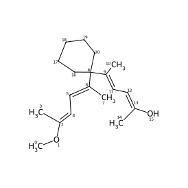 CO/C(C)=C/C=C(\C)C1(/C(C)=C/C=C(\C)O)CCCCC1